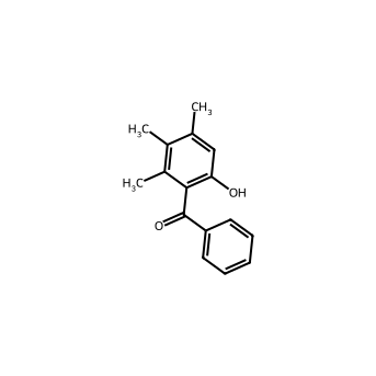 Cc1cc(O)c(C(=O)c2ccccc2)c(C)c1C